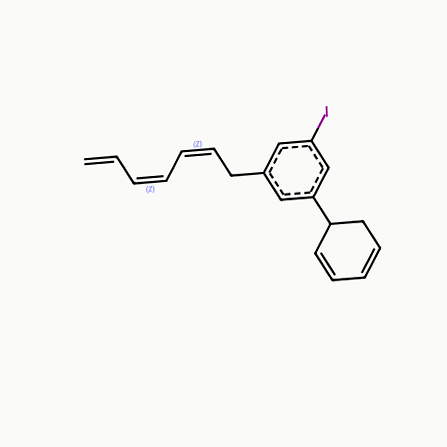 C=C/C=C\C=C/Cc1cc(I)cc(C2C=CC=CC2)c1